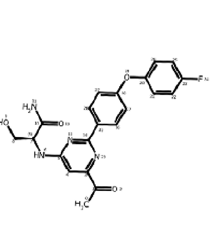 CC(=O)c1cc(N[C@@H](CO)C(N)=O)nc(-c2ccc(Oc3ccc(F)cc3)cc2)n1